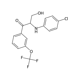 O=C(c1cccc(OC(F)(F)F)c1)C(CO)Nc1ccc(Cl)cc1